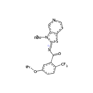 CCCCn1/c(=N/C(=O)c2cc(O[C](C)C)ccc2C(F)(F)F)sc2ccncc21